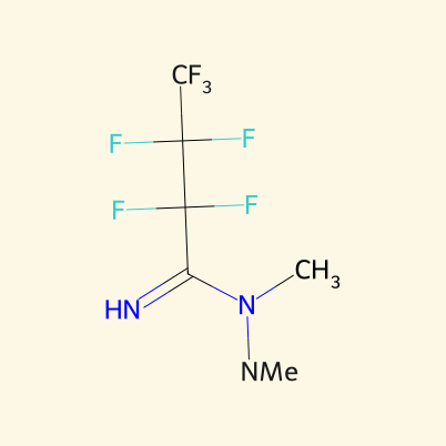 CNN(C)C(=N)C(F)(F)C(F)(F)C(F)(F)F